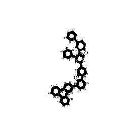 C1=CC2Oc3nc(-c4ccc5c(c4)oc4c(-c6ccc7c8ccccc8c8ccccc8c7c6)cccc45)nc(-c4ccccc4)c3C2C=C1c1ccccc1